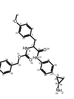 COc1ccc(CC(NC(=O)OCc2ccccc2)C(=O)Nc2ccc([C@@H]3C[C@H]3N)cc2)cc1